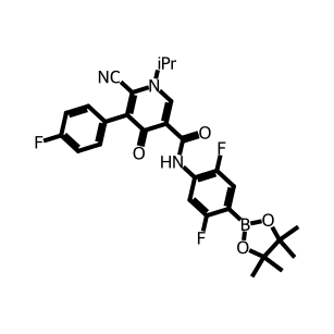 CC(C)n1cc(C(=O)Nc2cc(F)c(B3OC(C)(C)C(C)(C)O3)cc2F)c(=O)c(-c2ccc(F)cc2)c1C#N